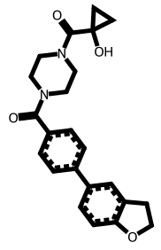 O=C(c1ccc(-c2ccc3c(c2)CCO3)cc1)N1CCN(C(=O)C2(O)CC2)CC1